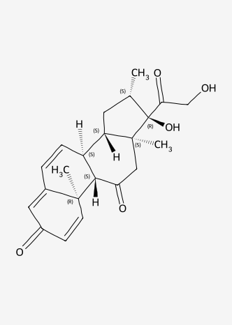 C[C@H]1C[C@H]2[C@@H]3C=CC4=CC(=O)C=C[C@]4(C)[C@H]3C(=O)C[C@]2(C)[C@@]1(O)C(=O)CO